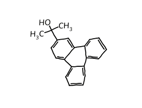 CC(C)(O)c1ccc2c3ccccc3c3ccccc3c2c1